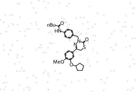 CCCCC(=O)Nc1ccc(CN2N=C(c3ccc(OC)c(OC4CCCC4)c3)CSC2=O)cc1